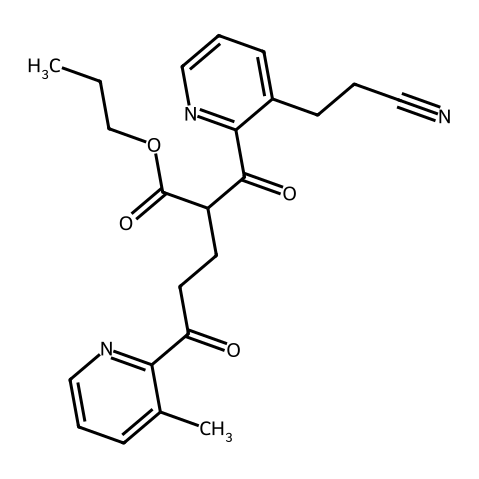 CCCOC(=O)C(CCC(=O)c1ncccc1C)C(=O)c1ncccc1CCC#N